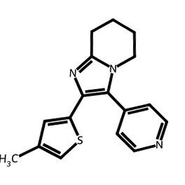 Cc1csc(-c2nc3n(c2-c2ccncc2)CCCC3)c1